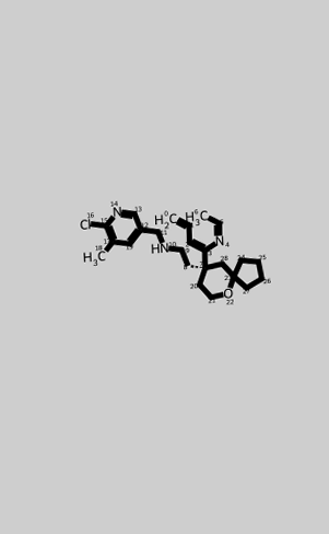 C=C/C=C(\N=C/C)[C@]1(CCNCc2cnc(Cl)c(C)c2)CCOC2(CCCC2)C1